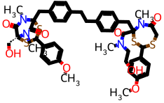 COc1ccc(C2SCC(=O)N(C)C(Cc3ccc(CCc4ccc(CC56SC(c7ccc(OC)cc7)S[C@@](CO)(C(=O)N5C)N(C)C6=O)cc4)cc3)(C(=O)N(C)CCO)S2)cc1